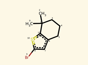 CC1(C)CCCc2cc(Br)sc21